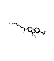 CCCOCCC(=O)N1CCn2c(c(C)c3cc(C4CC4)cnc32)C1